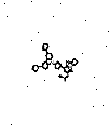 C#C/C(C)=C\c1cc(-c2ccc(-n3c4c(c5cc(-c6ccccc6)ccc53)CC(c3ccccc3)C=C4)cc2)c2nc3c(n2c1C)=CCCC=3